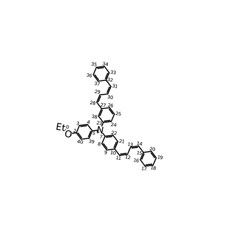 CCOc1ccc(N(c2ccc(/C=C\C=C/c3ccccc3)cc2)c2cccc(/C=C\C=C/c3ccccc3)c2)cc1